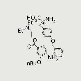 CCCCOc1cc(C(=O)OCCN(CC)CC)ccc1N.N[C@H](Cc1ccc(OCc2ccccc2)cc1)C(=O)O